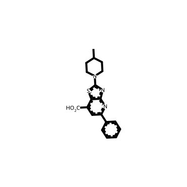 CC1CCN(c2nc3nc(-c4ccccc4)cc(C(=O)O)c3s2)CC1